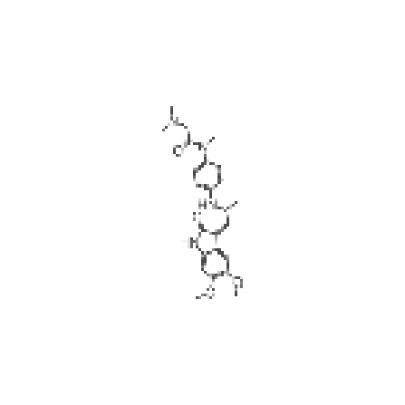 COc1cc2c(cc1OC)C(=CC(C)Nc1ccc(N(C)C(=O)CN(C)C)cc1)C(=O)N2